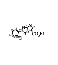 CCOC(=O)C1=CSC2=NC(c3cccnc3Cl)CN12